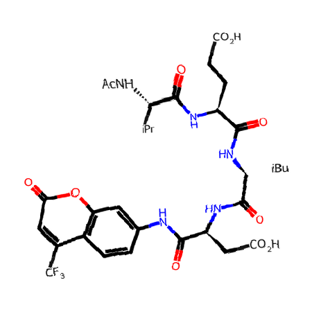 CC[C@H](C)[C@H](NC(=O)[C@H](CCC(=O)O)NC(=O)[C@@H](NC(C)=O)C(C)C)C(=O)N[C@@H](CC(=O)O)C(=O)Nc1ccc2c(C(F)(F)F)cc(=O)oc2c1